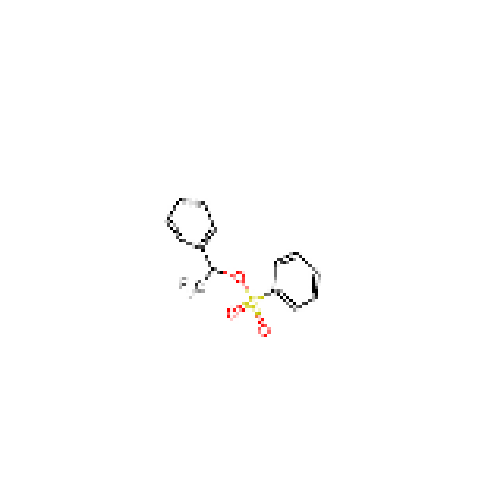 O=S(=O)(OC(c1ccccc1)C(F)(F)F)c1ccccc1